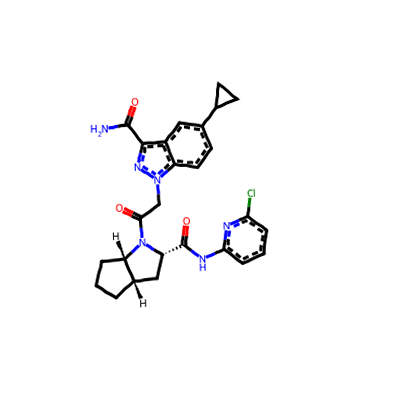 NC(=O)c1nn(CC(=O)N2[C@H](C(=O)Nc3cccc(Cl)n3)C[C@@H]3CCC[C@@H]32)c2ccc(C3CC3)cc12